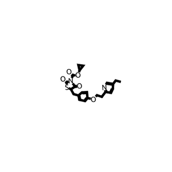 CCc1ccc(CCOc2ccc(CC3SC(=O)N(C(=O)OC4CC4)C3=O)cc2)nc1